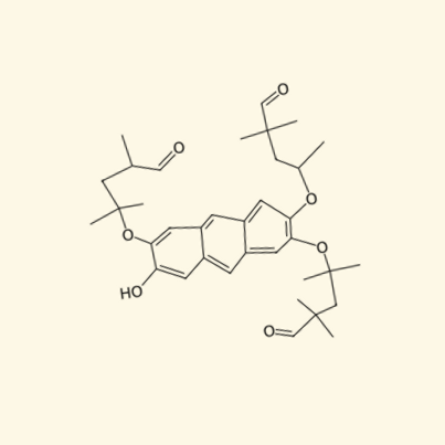 CC(C=O)CC(C)(C)Oc1cc2cc3cc(OC(C)CC(C)(C)C=O)c(OC(C)(C)CC(C)(C)C=O)cc3cc2cc1O